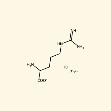 N=C(N)NCCCC(N)C(=O)[O-].[OH-].[Zn+2]